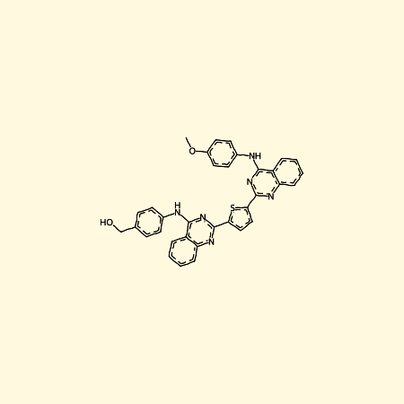 COc1ccc(Nc2nc(-c3ccc(-c4nc(Nc5ccc(CO)cc5)c5ccccc5n4)s3)nc3ccccc23)cc1